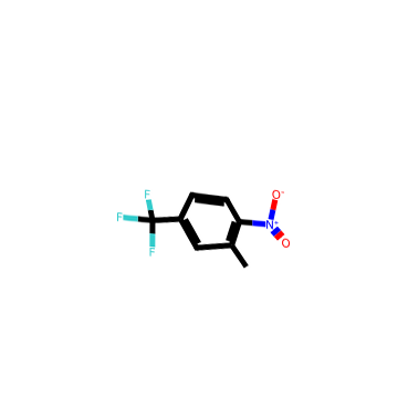 Cc1cc(C(F)(F)F)ccc1[N+](=O)[O-]